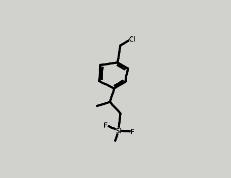 CC(C[Si](C)(F)F)c1ccc(CCl)cc1